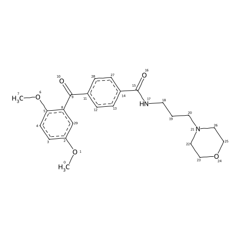 COc1ccc(OC)c(C(=O)c2ccc(C(=O)NCCCN3CCOCC3)cc2)c1